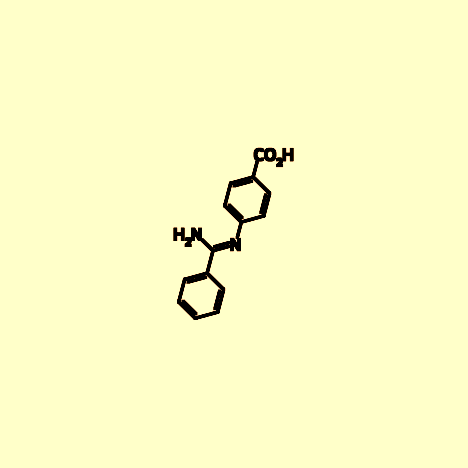 NC(=Nc1ccc(C(=O)O)cc1)c1ccccc1